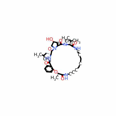 CC(C)C[C@H]1NC(=O)c2ccccc2O[C@@H](C)C(=O)NCCCCCCCCNC(=O)[C@H](C(C)C)N(C)C(=O)[C@H]2C[C@H](O)CN2C1=O